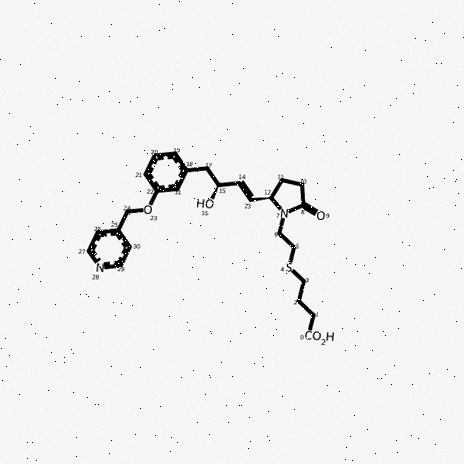 O=C(O)CCCSCCN1C(=O)CC[C@@H]1/C=C/[C@@H](O)Cc1cccc(OCc2ccncc2)c1